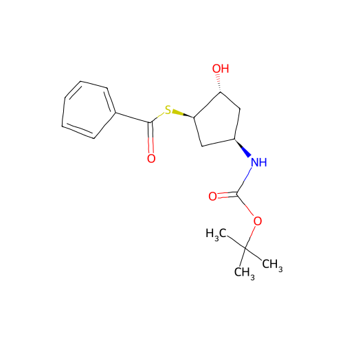 CC(C)(C)OC(=O)N[C@@H]1C[C@@H](O)[C@H](SC(=O)c2ccccc2)C1